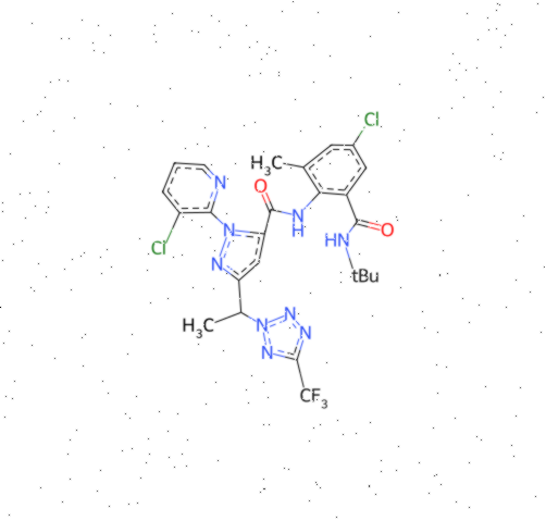 Cc1cc(Cl)cc(C(=O)NC(C)(C)C)c1NC(=O)c1cc(C(C)n2nnc(C(F)(F)F)n2)nn1-c1ncccc1Cl